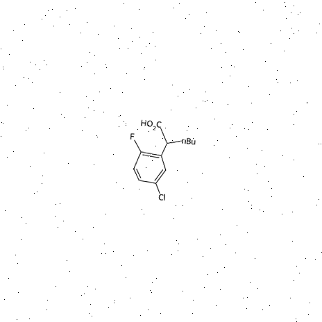 CCCCC(C(=O)O)c1cc(Cl)ccc1F